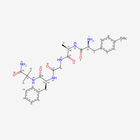 CC(=O)Oc1ccc(C[C@H](N)C(=O)N[C@H](C)C(=O)NCC(=O)N[C@@H](Cc2ccccc2)C(=O)NC(C)(C)C(N)=O)cc1